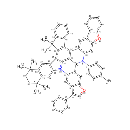 CC(C)(C)c1ccc(N2B3c4cc5occ(-c6ccccc6)c5cc4-n4c5cc6c(cc5c5c7c(c(c3c54)-c3cc4c(cc32)oc2ccccc24)-c2ccccc2C7(C)C)C(C)(C)CCC6(C)C)cc1